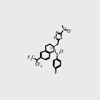 C[S+]([O-])c1nnc(C[C@@H]2CCc3cc(C(C(F)(F)F)C(F)(F)F)ccc3N2[S+]([O-])c2ccc(F)cc2)s1